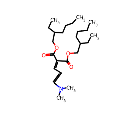 CCCCC(CC)COC(=O)C(=C/C=C/N(C)C)C(=O)OCC(CC)CCCC